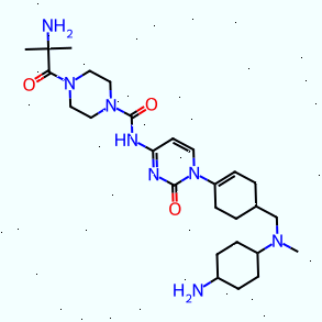 CN(CC1CC=C(n2ccc(NC(=O)N3CCN(C(=O)C(C)(C)N)CC3)nc2=O)CC1)C1CCC(N)CC1